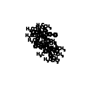 Cc1cc2c3c(c1)N(c1ccc(C(C)(C)Cc4cccc(-c5ccc(N6c7ccc(C(C)(C)C)cc7B7c8oc9cc%10c(cc9c8N(c8ccc(C(C)(C)C)cc8)c8cc(C)cc6c87)C(C)(C)CCC%10(C)C)c(C)c5)c4C)cc1)c1c(oc4cc5c(cc14)C(C)(C)CCC5(C)C)B3c1cc(C(C)(C)C)ccc1N2c1ccc(-c2ccccc2)cc1C